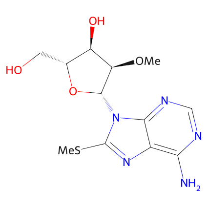 CO[C@@H]1[C@H](O)[C@@H](CO)O[C@H]1n1c(SC)nc2c(N)ncnc21